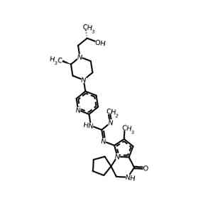 C=N/C(=N\c1c(C)cc2n1C1(CCCC1)CNC2=O)Nc1ccc(N2CCN(C[C@H](C)O)[C@H](C)C2)cn1